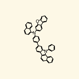 c1ccc(-n2c3cc(-c4ccc(N(c5ccc6c(c5)oc5ccccc56)c5cccc6ccccc56)cc4)ccc3c3ccc4ccccc4c32)cc1